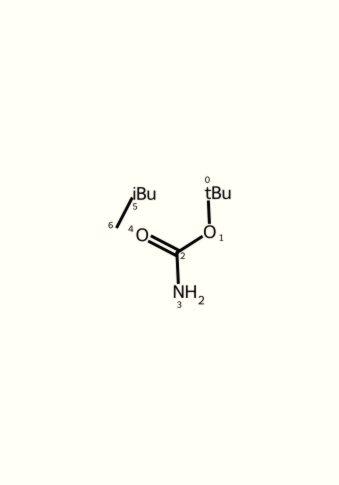 CC(C)(C)OC(N)=O.CCC(C)C